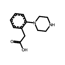 O=C(O)Cc1ccccc1N1CCNCC1